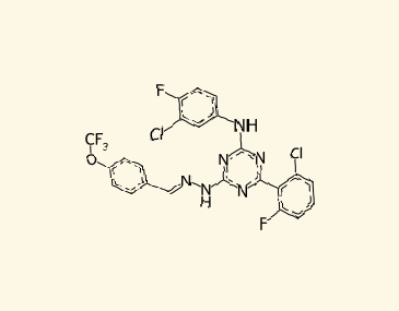 Fc1ccc(Nc2nc(NN=Cc3ccc(OC(F)(F)F)cc3)nc(-c3c(F)cccc3Cl)n2)cc1Cl